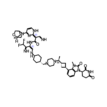 C[C@@H]([C@H]1C[C@H](c2cccc3c2n(C)c(=O)n3C2CCC(=O)NC2=O)C1)N1CCN(C[C@H]2CC[C@H](N/C=C(/NC(=O)/C(C=N)=C3\N=C(N4C[C@H]5CC4CO5)C=CN3)C(=N)C(F)F)CC2)CC1